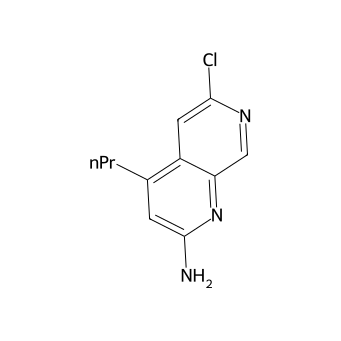 CCCc1cc(N)nc2cnc(Cl)cc12